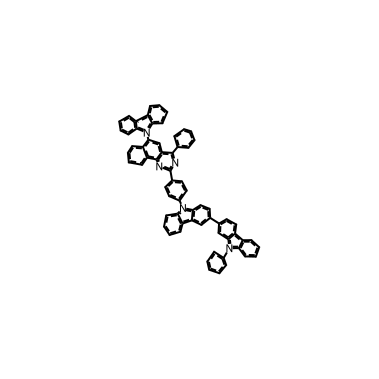 c1ccc(-c2nc(-c3ccc(-n4c5ccccc5c5cc(-c6ccc7c8ccccc8n(-c8ccccc8)c7c6)ccc54)cc3)nc3c2cc(-n2c4ccccc4c4ccccc42)c2ccccc23)cc1